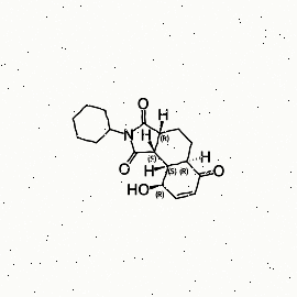 O=C1C=C[C@@H](O)[C@@H]2[C@@H]3C(=O)N(C4CCCCC4)C(=O)[C@@H]3CC[C@@H]12